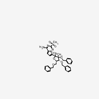 C[C@@]1(OCc2ccccc2)[C@H](OCc2ccccc2)[C@@H](COCc2ccccc2)OC1(C#N)c1ccc2c(N)nc(S(C)(=O)=O)nn12